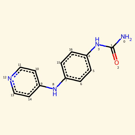 NC(=O)Nc1ccc(Nc2ccncc2)cc1